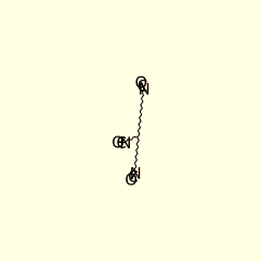 O=C=NCCCCCCCCCCCCCCC(CCCCCCCCCCN=C=O)CCCN=C=O